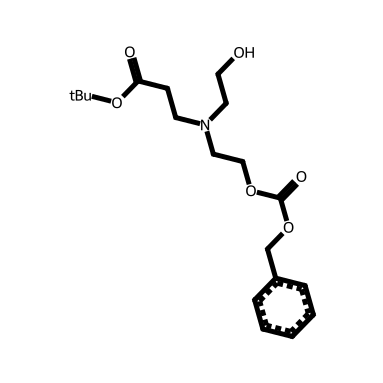 CC(C)(C)OC(=O)CCN(CCO)CCOC(=O)OCc1ccccc1